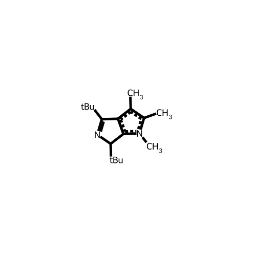 Cc1c2c(n(C)c1C)C(C(C)(C)C)N=C2C(C)(C)C